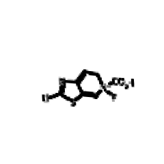 O=C(O)[N+]1(F)C=c2sc(Cl)nc2=CC1